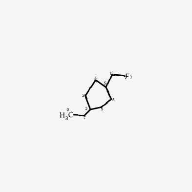 CCC1CCC(CF)CC1